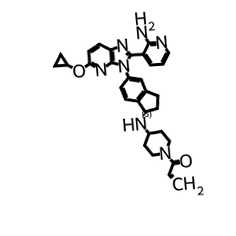 C=CC(=O)N1CCC(N[C@H]2CCc3cc(-n4c(-c5cccnc5N)nc5ccc(OC6CC6)nc54)ccc32)CC1